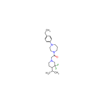 CCc1ccc(N2CCCN(C(=O)CN3CCC(C(C)C)C(F)(F)C3)CC2)cc1